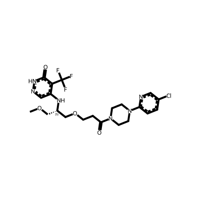 COC[C@@H](COCCC(=O)N1CCN(c2ccc(Cl)cn2)CC1)Nc1cn[nH]c(=O)c1C(F)(F)F